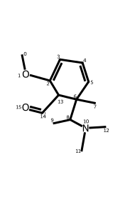 COC1=CC=CC(C)(C(C)N(C)C)C1[C]=O